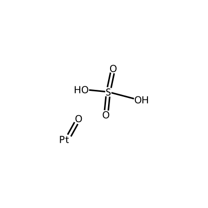 O=S(=O)(O)O.[O]=[Pt]